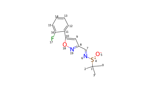 CC(C)(C)[S@+]([O-])N=Cc1cc(-c2ccccc2F)on1